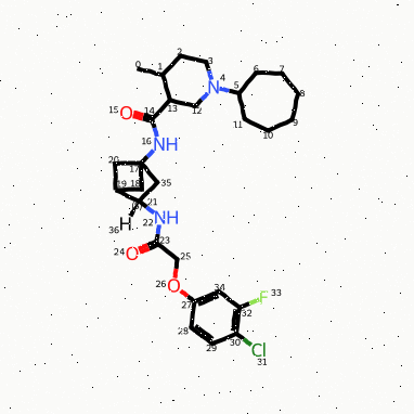 CC1CCN(C2CCCCCC2)CC1C(=O)NC12CC(C1)[C@@H](NC(=O)COc1ccc(Cl)c(F)c1)C2